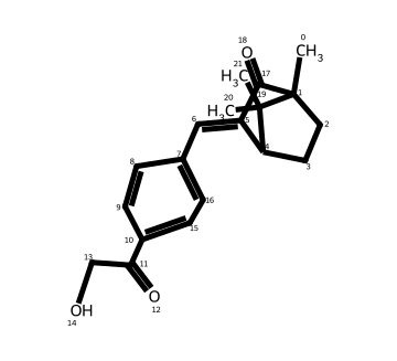 CC12CCC(C(=Cc3ccc(C(=O)CO)cc3)C1=O)C2(C)C